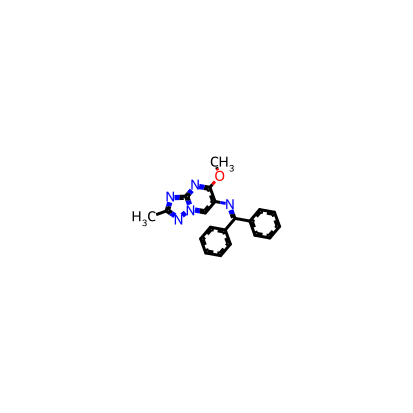 COc1nc2nc(C)nn2cc1N=C(c1ccccc1)c1ccccc1